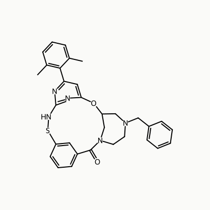 Cc1cccc(C)c1-c1cc2nc(n1)NSc1cccc(c1)C(=O)N1CCN(Cc3ccccc3)CC(C1)O2